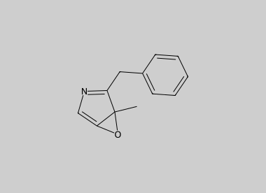 CC12OC1=CN=C2Cc1ccccc1